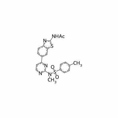 CC(=O)Nc1nc2ccc(-c3ccnc(N(C)S(=O)(=O)c4ccc(C)cc4)n3)cc2s1